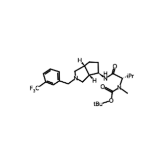 CC(C)[C@@H](C(=O)N[C@@H]1CC[C@H]2CN(Cc3cccc(C(F)(F)F)c3)C[C@H]21)N(C)C(=O)OC(C)(C)C